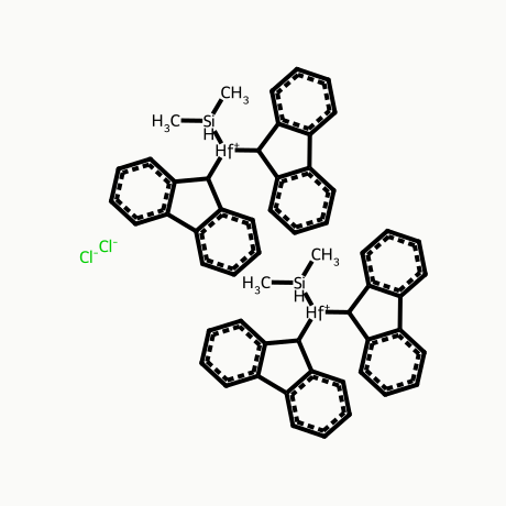 C[SiH](C)[Hf+]([CH]1c2ccccc2-c2ccccc21)[CH]1c2ccccc2-c2ccccc21.C[SiH](C)[Hf+]([CH]1c2ccccc2-c2ccccc21)[CH]1c2ccccc2-c2ccccc21.[Cl-].[Cl-]